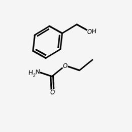 CCOC(N)=O.OCc1ccccc1